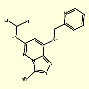 CCCc1nnc2c(NCc3ccccn3)cc(NC(CC)CC)nn12